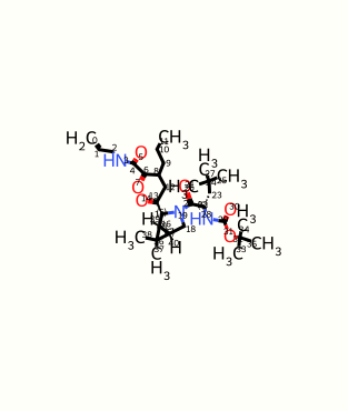 C=CCNC(=O)C(=O)C(CCC)CC(=O)[C@@H]1[C@@H]2[C@H](CN1C(=O)[C@H](CC(C)(C)C)NC(=O)OC(C)(C)C)C2(C)C